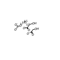 O=C([O-])CO.O=C([O-])CO.[Li+].[Li+].[Li+].[Li+].[Li+].[O-]B([O-])[O-]